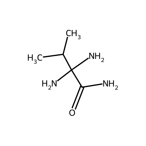 CC(C)C(N)(N)C(N)=O